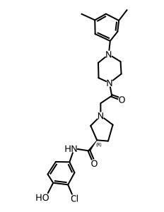 Cc1cc(C)cc(N2CCN(C(=O)CN3CC[C@@H](C(=O)Nc4ccc(O)c(Cl)c4)C3)CC2)c1